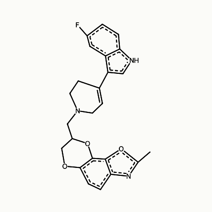 Cc1nc2ccc3c(c2o1)OC(CN1CC=C(c2c[nH]c4ccc(F)cc24)CC1)CO3